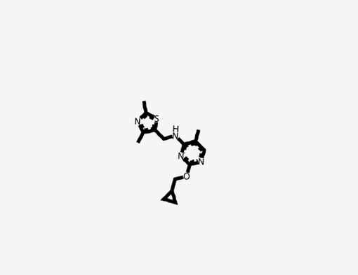 Cc1nc(C)c(CNc2nc(OCC3CC3)ncc2C)s1